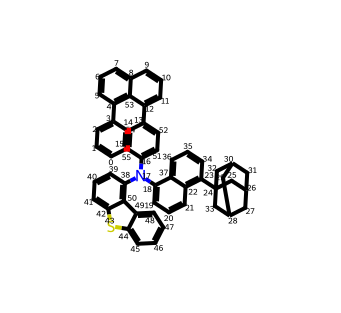 c1ccc(-c2cccc3cccc(-c4ccc(N(c5cccc6c(C78CC9CC(CC(C9)C7)C8)cccc56)c5cccc6sc7ccccc7c56)cc4)c23)cc1